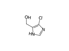 OCc1[nH]cnc1Cl